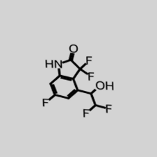 O=C1Nc2cc(F)cc(C(O)C(F)F)c2C1(F)F